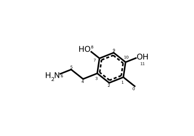 Cc1cc(CCN)c(O)cc1O